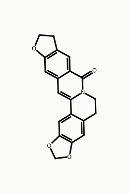 O=c1c2cc3c(cc2cc2n1CCc1cc4c(cc1-2)OCO4)OCC3